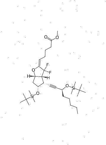 CCCCC[C@@H](C#C[C@H]1[C@@H]2[C@H](C[C@H]1O[Si](C)(C)C(C)(C)C)OC(=CCCCC(=O)OC)C2(F)F)O[Si](C)(C)C(C)(C)C